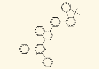 CC1(C)c2ccccc2-c2c(-c3cccc(-c4ccc(-c5cc(-c6ccccc6)nc(-c6ccccc6)n5)c5ccccc45)c3)cccc21